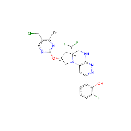 CC(C)c1nc(O[C@H]2CN3c4cc(-c5cccc(F)c5O)nnc4NC[C@]3(C(F)F)C2)ncc1CCl